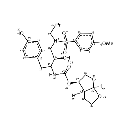 COc1ccc(S(=O)(=O)N(CC(C)C)C[C@@H](O)C(Cc2ccc(O)cc2)NC(=O)O[C@H]2CO[C@H]3OCC[C@H]32)cc1